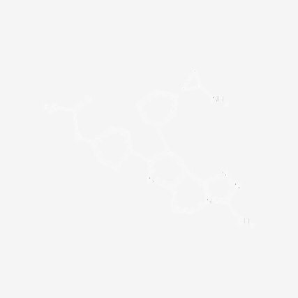 Cc1nnc2c3cc(-c4ccccc4)c(-c4ccc(OC(=O)C(F)(F)F)cc4)nc3ccn12.NC1CC1